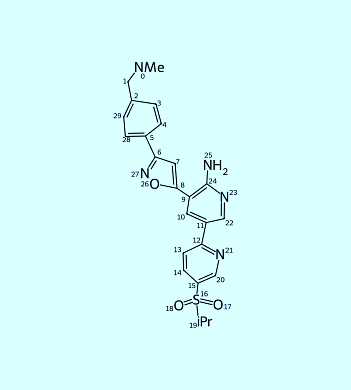 CNCc1ccc(-c2cc(-c3cc(-c4ccc(S(=O)(=O)C(C)C)cn4)cnc3N)on2)cc1